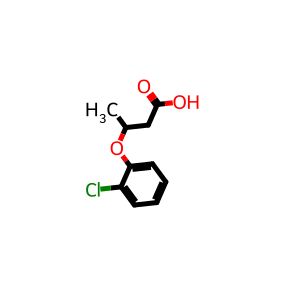 CC(CC(=O)O)Oc1ccccc1Cl